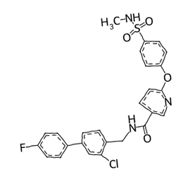 CNS(=O)(=O)c1ccc(Oc2ccc(C(=O)NCc3ccc(-c4ccc(F)cc4)cc3Cl)cn2)cc1